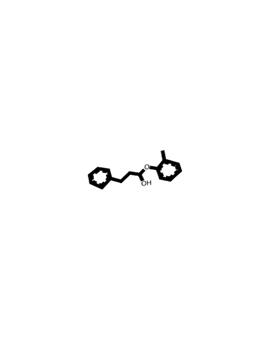 Cc1ccccc1OC(O)CCc1ccccc1